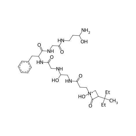 CCC(C)(CC)C1C[N+](O)(CCC(=O)NCC(O)NCC(=O)NC(Cc2ccccc2)C(=O)NCC(=O)NCCC(N)O)C1=O